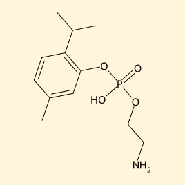 Cc1ccc(C(C)C)c(OP(=O)(O)OCCN)c1